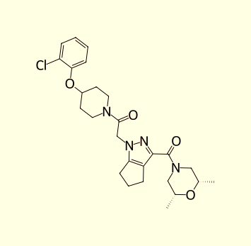 C[C@@H]1CN(C(=O)c2nn(CC(=O)N3CCC(Oc4ccccc4Cl)CC3)c3c2CCC3)C[C@H](C)O1